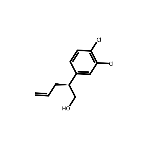 C=CC[C@H](CO)c1ccc(Cl)c(Cl)c1